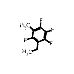 CCc1c(F)c(C)c(F)c(F)c1F